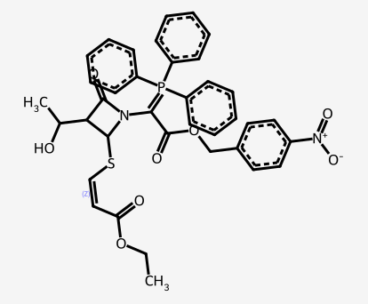 CCOC(=O)/C=C\SC1C(C(C)O)C(=O)N1C(C(=O)OCc1ccc([N+](=O)[O-])cc1)=P(c1ccccc1)(c1ccccc1)c1ccccc1